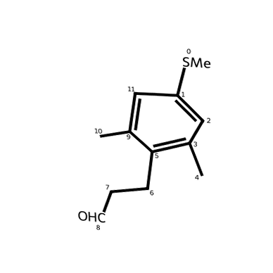 CSc1cc(C)c(CCC=O)c(C)c1